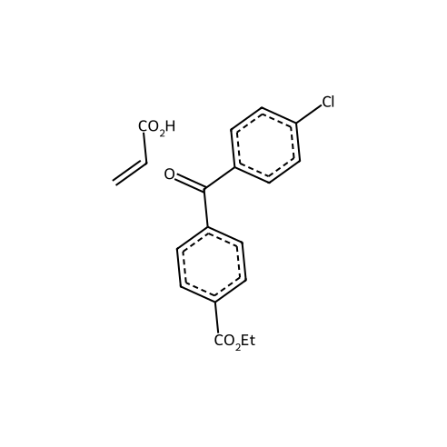 C=CC(=O)O.CCOC(=O)c1ccc(C(=O)c2ccc(Cl)cc2)cc1